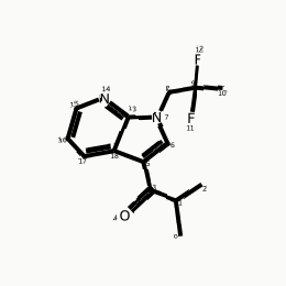 CC(C)C(=O)c1cn(CC(C)(F)F)c2ncccc12